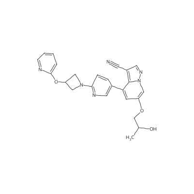 CC(O)COc1cc(-c2ccc(N3CC(Oc4ccccn4)C3)nc2)c2c(C#N)cnn2c1